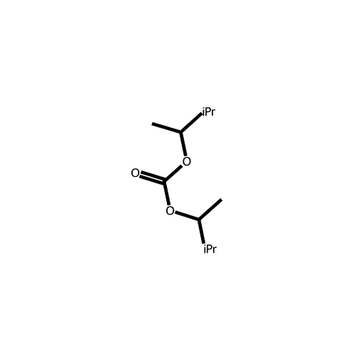 CC(C)C(C)OC(=O)OC(C)C(C)C